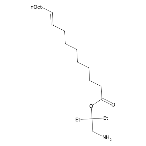 CCCCCCCCC=CCCCCCCCC(=O)OC(CC)(CC)CN